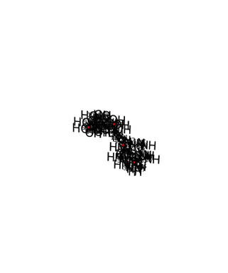 O=C[C@H](Cc1cnc[nH]1)NC(=O)C(Cc1cnc[nH]1)NC(=O)[C@H](Cc1cnc[nH]1)NC(=O)C(Cc1cnc[nH]1)NC(=O)[C@H](Cc1cnc[nH]1)NC(=O)C(Cc1cnc[nH]1)NC(=O)c1ccc2[nH]c(C(O)[C@@H](O)[C@H](O[C@H]3OC(CO)[C@@H](O[C@H]4OC(CO)[C@@H](O[C@H]5OC(CO)[C@@H](O)[C@H](O)C5O)[C@H](O)C4O)[C@H](O)C3O)C(O)CO)nc2c1